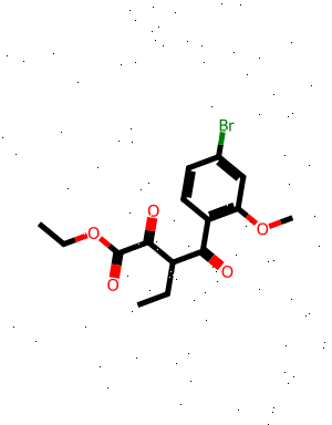 CCOC(=O)C(=O)C(CC)C(=O)c1ccc(Br)cc1OC